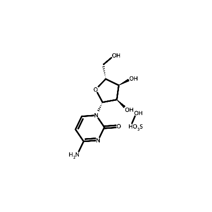 Nc1ccn([C@@H]2O[C@H](CO)[C@@H](O)[C@H]2O)c(=O)n1.O=S(=O)(O)O